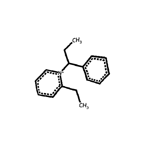 CCc1cccc[n+]1C(CC)c1ccccc1